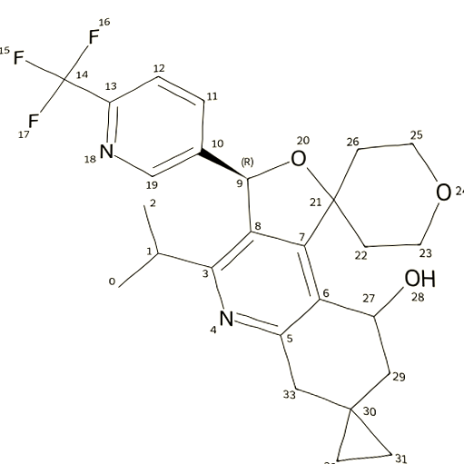 CC(C)c1nc2c(c3c1[C@@H](c1ccc(C(F)(F)F)nc1)OC31CCOCC1)C(O)CC1(CC1)C2